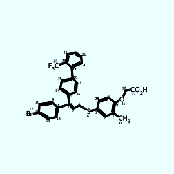 Cc1cc(SCC=C(c2ccc(Br)cc2)c2ccc(-c3ccccc3C(F)(F)F)cc2)ccc1OCC(=O)O